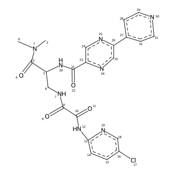 CN(C)C(=O)C(CNC(=O)C(=O)Nc1ccc(Cl)cn1)NC(=O)c1cnc(-c2ccncc2)cn1